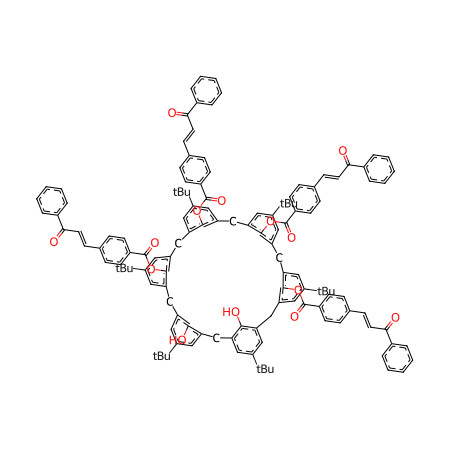 CC(C)(C)c1cc2c(O)c(c1)Cc1cc(C(C)(C)C)cc(c1OC(=O)c1ccc(/C=C/C(=O)c3ccccc3)cc1)Cc1cc(C(C)(C)C)cc(c1OC(=O)c1ccc(/C=C/C(=O)c3ccccc3)cc1)Cc1cc(C(C)(C)C)cc(c1OC(=O)c1ccc(/C=C/C(=O)c3ccccc3)cc1)Cc1cc(C(C)(C)C)cc(c1OC(=O)c1ccc(/C=C/C(=O)c3ccccc3)cc1)Cc1cc(C(C)(C)C)cc(c1O)C2